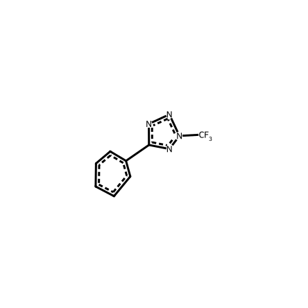 FC(F)(F)n1nnc(-c2ccccc2)n1